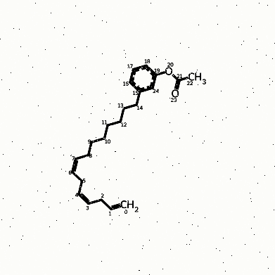 C=CC/C=C\C/C=C\CCCCCCCc1cccc(OC(C)=O)c1